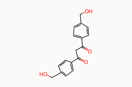 O=C(CC(=O)c1ccc(CO)cc1)c1ccc(CO)cc1